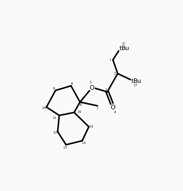 CC(C)(C)CC(C(=O)OC1(C)CCCC2CCCCC21)C(C)(C)C